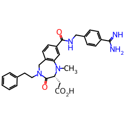 CN1c2cc(C(=O)NCc3ccc(C(=N)N)cc3)ccc2CN(CCc2ccccc2)C(=O)[C@H]1CC(=O)O